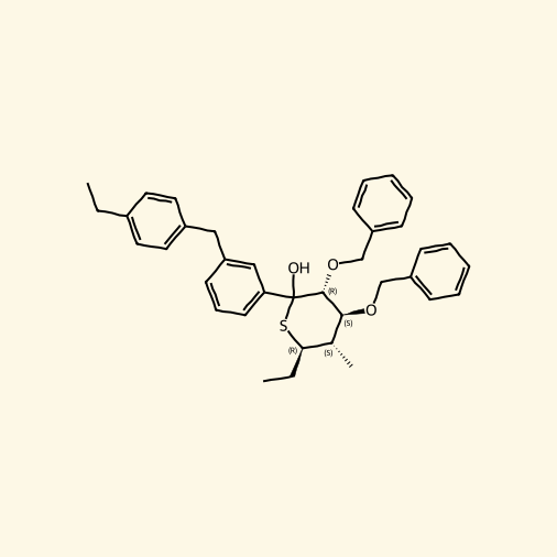 CCc1ccc(Cc2cccc(C3(O)S[C@H](CC)[C@@H](C)[C@H](OCc4ccccc4)[C@H]3OCc3ccccc3)c2)cc1